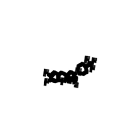 N[C@@H](CC(=O)N1CCC(C(F)(F)F)CC1)Cc1cc(F)c(F)cc1F